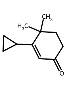 CC1(C)CCC(=O)C=C1C1CC1